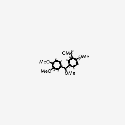 COc1ccc(C(OC)c2ccc(OC)c(OC)c2)cc1OC